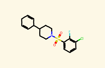 O=S(=O)(c1cccc(Cl)c1F)N1CCC(C2C=CCC=C2)CC1